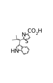 CC(C)=C(c1nc(C(=O)O)cs1)c1c[nH]c2ccccc12